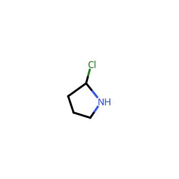 ClC1CCCN1